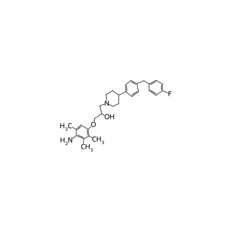 Cc1cc(OCC(O)CN2CCC(c3ccc(Cc4ccc(F)cc4)cc3)CC2)c(C)c(C)c1N